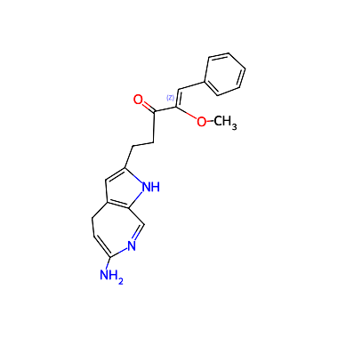 CO/C(=C\c1ccccc1)C(=O)CCc1cc2c([nH]1)C=NC(N)=CC2